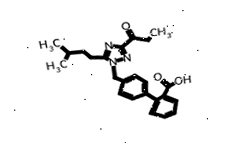 CCC(=O)c1nc(CCC(C)C)n(Cc2ccc(-c3ccccc3C(=O)O)cc2)n1